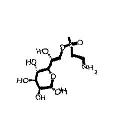 CP(=O)(CCN)OC[C@@H](O)[C@H]1O[C@H](O)[C@@H](O)[C@@H](O)[C@@H]1O